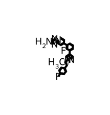 C[C@H](Cc1ccc(F)cc1)n1cc(-c2cccc(-c3ccn4nc(N)nc4c3)c2F)cn1